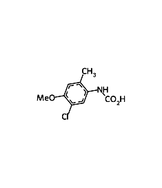 COc1cc(C)c(NC(=O)O)cc1Cl